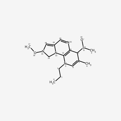 CCCN1C=C(C)C([S+](C)[O-])C2=C1N1CN(OC)C=C1C=N2